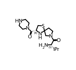 CC(C)[C@H](N)C(=O)N1CCC2(C1)N[C@H](C(=O)N1CCNCC1)CS2